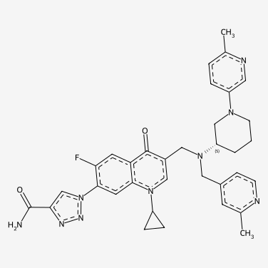 Cc1ccc(N2CCC[C@H](N(Cc3ccnc(C)c3)Cc3cn(C4CC4)c4cc(-n5cc(C(N)=O)nn5)c(F)cc4c3=O)C2)cn1